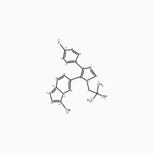 CC(C)(O)Cn1cnc(-c2ccc(F)cc2)c1-c1ccc2ncc(C#N)n2c1